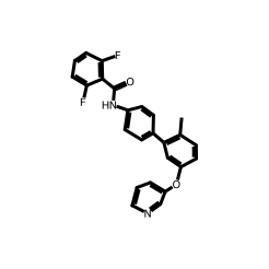 Cc1ccc(Oc2cccnc2)cc1-c1ccc(NC(=O)c2c(F)cccc2F)cc1